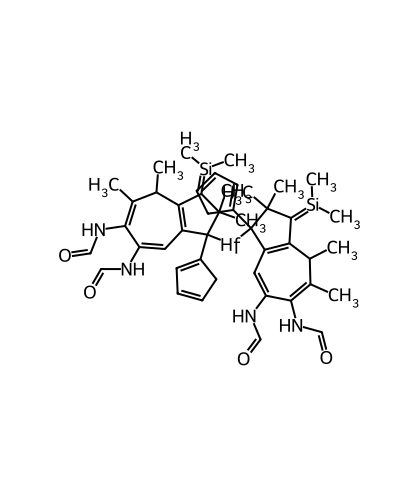 CC1=C(NC=O)C(NC=O)=CC2=C(C(=[Si](C)C)C(C)(C)[C]2([Hf][C]2(C3=CC=CC3)C3=C(C(=[Si](C)C)C2(C)C)C(C)C(C)=C(NC=O)C(NC=O)=C3)C2=CC=CC2)C1C